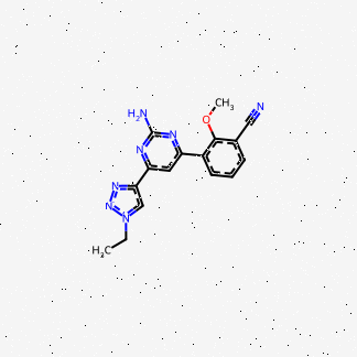 CCn1cc(-c2cc(-c3cccc(C#N)c3OC)nc(N)n2)nn1